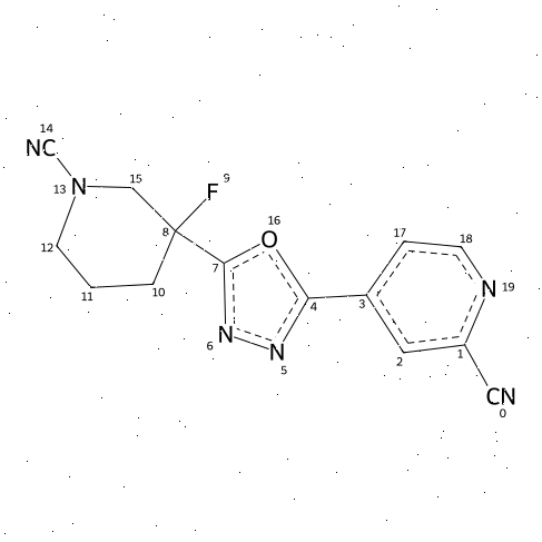 N#Cc1cc(-c2nnc(C3(F)CCCN(C#N)C3)o2)ccn1